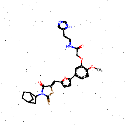 COc1ccc(-c2ccc(/C=C3\SC(=S)N(C4CC5CCC4C5)C3=O)o2)cc1OCC(=O)NCCc1cnc[nH]1